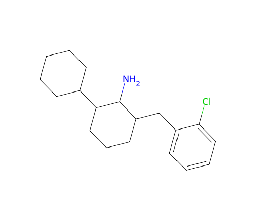 NC1C(Cc2ccccc2Cl)CCCC1C1CCCCC1